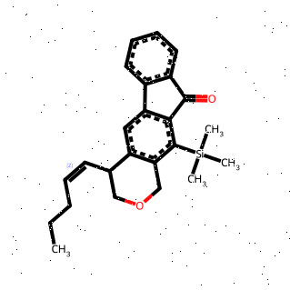 CCC/C=C\C1COCc2c1cc1c(c2[Si](C)(C)C)C(=O)c2ccccc2-1